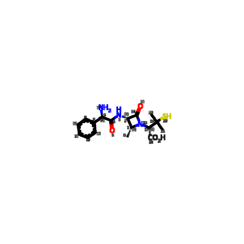 C[C@@H]1[C@H](NC(=O)[C@H](N)c2ccccc2)C(=O)N1[C@@H](C(=O)O)C(C)(C)S